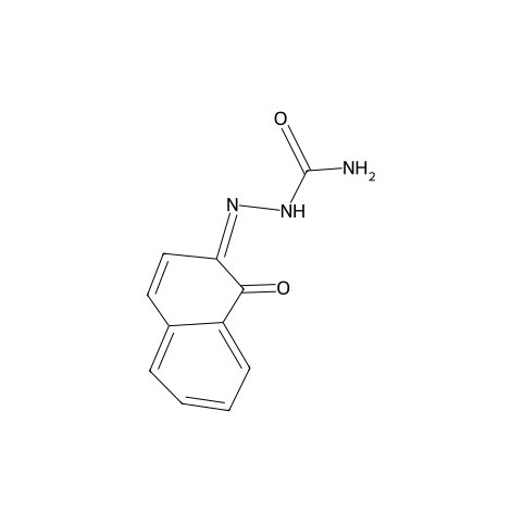 NC(=O)NN=C1C=Cc2ccccc2C1=O